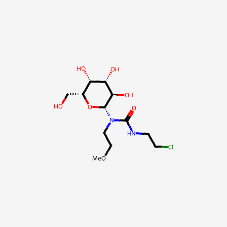 COCCN(C(=O)NCCCl)[C@@H]1O[C@H](CO)[C@H](O)[C@H](O)[C@H]1O